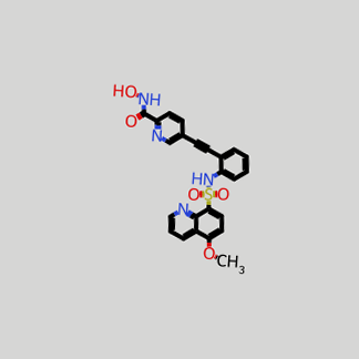 COc1ccc(S(=O)(=O)Nc2ccccc2C#Cc2ccc(C(=O)NO)nc2)c2ncccc12